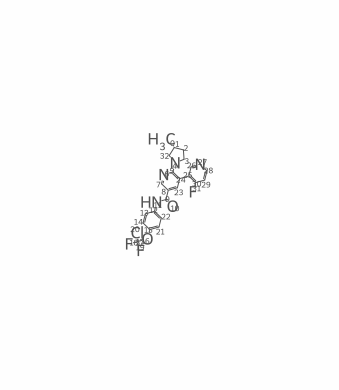 C[C@@H]1CCN(c2ncc(C(=O)Nc3ccc(OC(F)(F)Cl)cc3)cc2-c2cnccc2F)C1